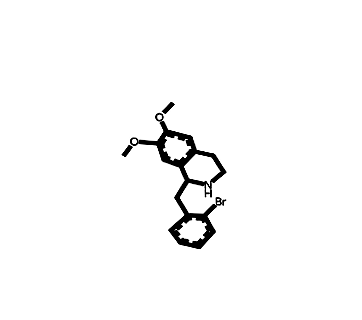 COc1cc2c(cc1OC)C(Cc1ccccc1Br)NCC2